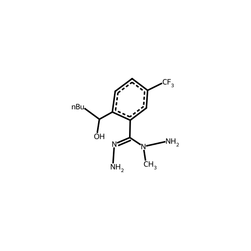 CCCCC(O)c1ccc(C(F)(F)F)cc1/C(=N/N)N(C)N